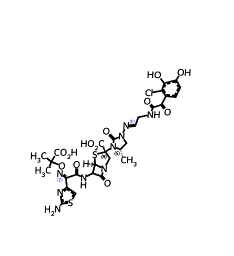 C[C@H]1CN(/N=C/CNC(=O)C(=O)c2ccc(O)c(O)c2Cl)C(=O)N1[C@]1(C(=O)O)CN2C(=O)C(NC(=O)/C(=N\OC(C)(C)C(=O)O)c3csc(N)n3)[C@H]2S1